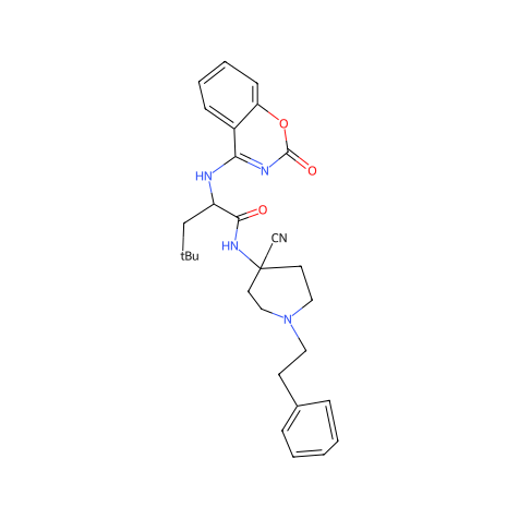 CC(C)(C)CC(Nc1nc(=O)oc2ccccc12)C(=O)NC1(C#N)CCN(CCc2ccccc2)CC1